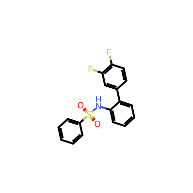 O=S(=O)(Nc1ccccc1-c1ccc(F)c(F)c1)c1ccccc1